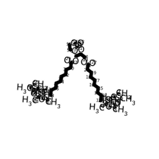 C[Si](C)(C)O[Si](C)(C)O[Si](C)(C)CCCCCCCCCC(=O)OCC(COC(=O)CCCCCCCCC[Si](C)(C)O[Si](C)(C)O[Si](C)(C)C)OP1(=O)OCCO1